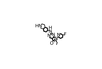 CCn1c(=O)c2cnc(Nc3ccc4c(c3)CCNC4)nc2n1-c1ccc(F)cn1